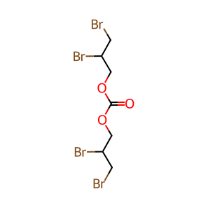 O=C(OCC(Br)CBr)OCC(Br)CBr